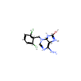 Nc1ncn(Cc2c(Cl)cccc2Cl)c2nc(Br)nc1-2